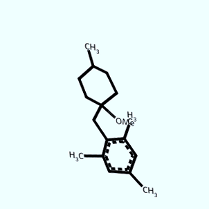 COC1(Cc2c(C)cc(C)cc2C)CCC(C)CC1